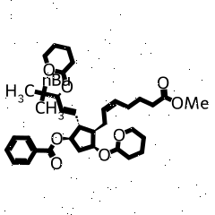 CCCCC(C)(C)[C@@H](/C=C/[C@@H]1[C@@H](C/C=C\CCCC(=O)OC)[C@@H](OC2CCCCO2)C[C@H]1OC(=O)c1ccccc1)OC1CCCCO1